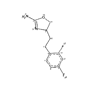 NC1=NC(CCc2ccc(F)cc2F)CO1